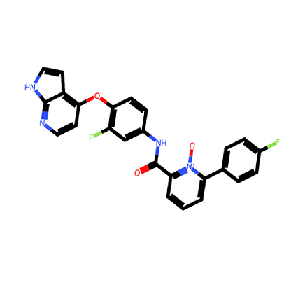 O=C(Nc1ccc(Oc2ccnc3[nH]ccc23)c(F)c1)c1cccc(-c2ccc(F)cc2)[n+]1[O-]